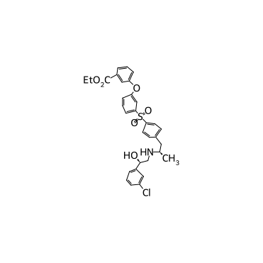 CCOC(=O)c1cccc(Oc2cccc(S(=O)(=O)c3ccc(C[C@@H](C)NC[C@H](O)c4cccc(Cl)c4)cc3)c2)c1